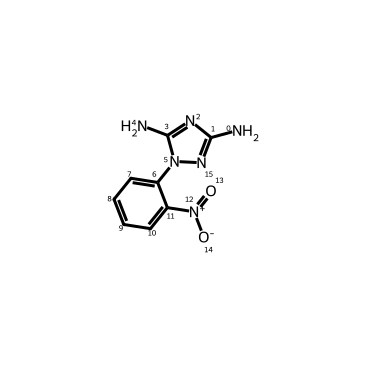 Nc1nc(N)n(-c2ccccc2[N+](=O)[O-])n1